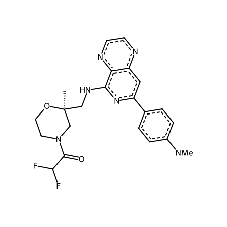 CNc1ccc(-c2cc3nccnc3c(NC[C@@]3(C)CN(C(=O)C(F)F)CCO3)n2)cc1